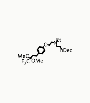 CCCCCCCCCCCCN(CC)CCOc1ccc(CCC(OC)(OC)C(F)(F)F)cc1